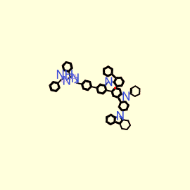 N/C(=N\C(=N/Cc1ccc(-c2ccc(-c3ccc4c(c3)c3cc(-n5c6c(c7ccccc75)CCCC6)ccc3n4C3=CCCCC3)c(-n3c4ccccc4c4ccccc43)c2)cc1)c1ccccc1)c1ccccc1